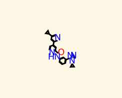 O=C(Nc1cccc(-c2nncn2C2CC2)c1)c1cc(-c2cncc(C3CC3)c2)ccn1